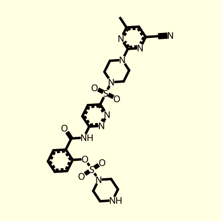 Cc1cc(C#N)nc(N2CCN(S(=O)(=O)c3ccc(NC(=O)c4ccccc4OS(=O)(=O)N4CCNCC4)nn3)CC2)n1